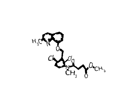 COC(=O)CCC(=O)N(C)c1ccc(Cl)c(COc2cccc3ccc(C)nc23)c1Cl